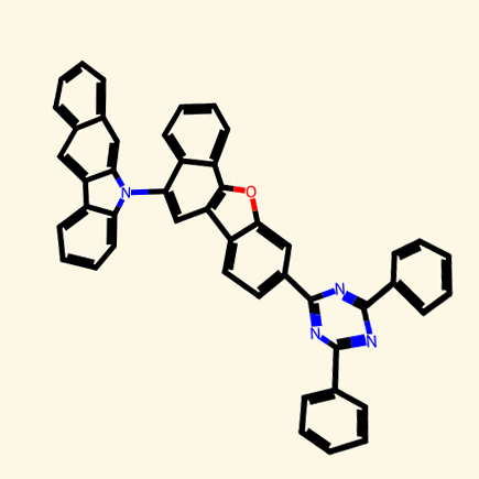 c1ccc(-c2nc(-c3ccccc3)nc(-c3ccc4c(c3)oc3c5ccccc5c(-n5c6ccccc6c6cc7ccccc7cc65)cc43)n2)cc1